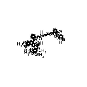 CC[C@H](C(=O)N1CCCC(C(Cc2ccc(OC)c(OC)c2)Cc2ccccc2OCC(=O)NCCCCCCOc2cccc3c2C(=O)N(C2CCC(=O)NC2=O)C3=O)[C@H]1C(=O)O)c1cc(OC)c(OC)c(OC)c1